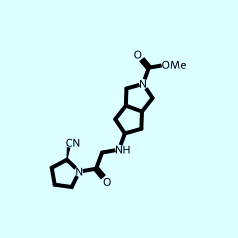 COC(=O)N1CC2CC(NCC(=O)N3CCC[C@H]3C#N)CC2C1